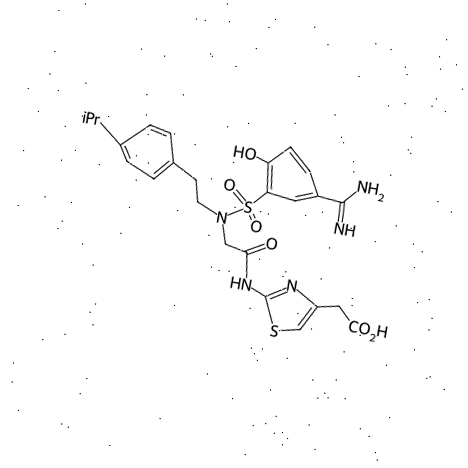 CC(C)c1ccc(CCN(CC(=O)Nc2nc(CC(=O)O)cs2)S(=O)(=O)c2cc(C(=N)N)ccc2O)cc1